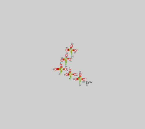 O=S(=O)([O-])F.O=S(=O)([O-])F.O=S(=O)([O-])F.O=S(=O)([O-])F.O=S(=O)([O-])F.[Ta+5]